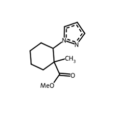 COC(=O)C1(C)CCCCC1n1cccn1